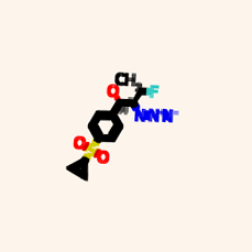 CO[C@H](c1ccc(S(=O)(=O)C2CC2)cc1)[C@@H](CF)N=[N+]=[N-]